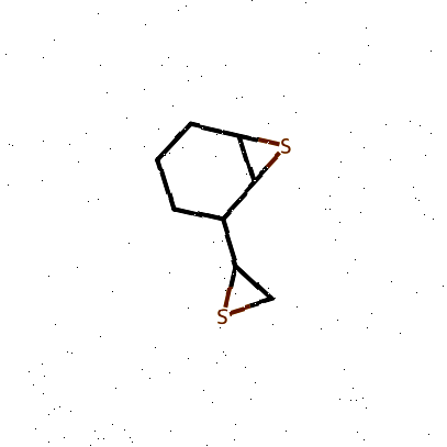 C1CC2SC2C(C2CS2)C1